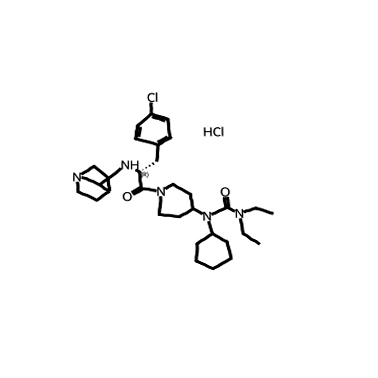 CCN(CC)C(=O)N(C1CCCCC1)C1CCN(C(=O)[C@@H](Cc2ccc(Cl)cc2)NC2CN3CCC2CC3)CC1.Cl